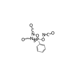 O=C=NO[PH](ON=C=O)(SN=C=O)c1ccccc1